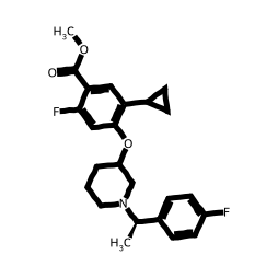 COC(=O)c1cc(C2CC2)c(OC2CCCN([C@H](C)c3ccc(F)cc3)C2)cc1F